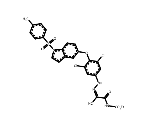 CCOC(=O)NC(=O)C(C#N)=NNc1cc(Cl)c(Oc2ccc3c(ccn3S(=O)(=O)c3ccc(C)cc3)c2)c(Cl)c1